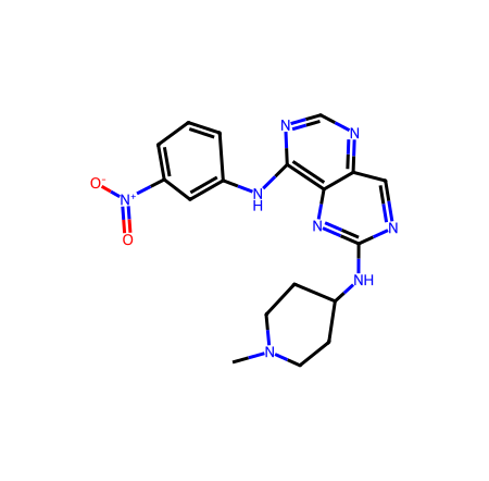 CN1CCC(Nc2ncc3ncnc(Nc4cccc([N+](=O)[O-])c4)c3n2)CC1